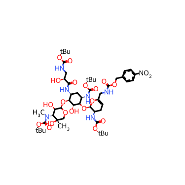 CN(C(=O)OC(C)(C)C)[C@@H]1[C@@H](O)[C@@H](O[C@@H]2[C@@H](O)[C@H](O[C@H]3OC(CNC(=O)OCc4ccc([N+](=O)[O-])cc4)=CC[C@H]3NC(=O)OC(C)(C)C)[C@@H](NC(=O)OC(C)(C)C)C[C@H]2NC(=O)[C@@H](O)CNC(=O)OC(C)(C)C)OC[C@]1(C)O